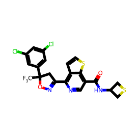 O=C(NC1CSC1)c1cnc(C2=NOC(c3cc(Cl)cc(Cl)c3)(C(F)(F)F)C2)c2ccsc12